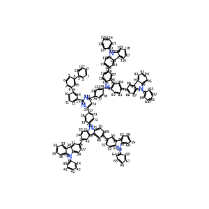 c1ccc(-c2cccc(-c3cccc(-c4nc(-c5ccc(-n6c7ccc(-c8ccc9c(c8)c8ccccc8n9-c8ccccc8)cc7c7cc(-c8ccc9c(c8)c8ccccc8n9-c8ccccc8)ccc76)cc5)cc(-c5ccc(-n6c7ccc(-c8ccc9c(c8)c8ccccc8n9-c8ccccc8)cc7c7cc(-c8ccc9c(c8)c8ccccc8n9-c8ccccc8)ccc76)cc5)n4)c3)c2)cc1